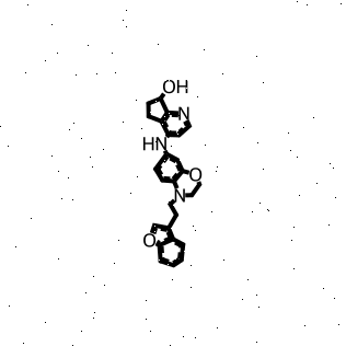 OC1CCc2c(Nc3ccc4c(c3)OCCN4CCc3coc4ccccc34)ccnc21